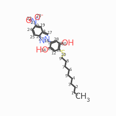 CCCCCCCCCCSc1cc(O)c(-n2cc3cc([N+](=O)[O-])ccc3n2)cc1O